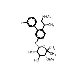 CO[C@@H]1[C@@H](O)[C@@H](O)[C@H](Oc2ccc(C(C)CNC(C)=O)c(-c3cccc(F)c3)c2)OC1(C)C